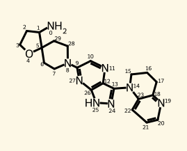 NC1CCOC12CCN(c1cnc3c(N4CCCc5ncccc54)n[nH]c3n1)CC2